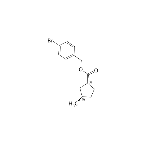 C[C@@H]1CC[C@H](C(=O)OCc2ccc(Br)cc2)C1